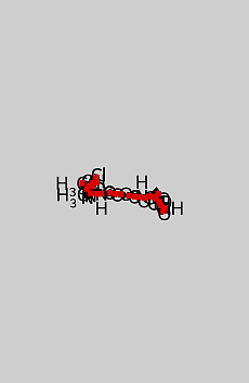 Cc1sc2c(c1C)C(c1ccc(Cl)cc1)=N[C@@H](CC(=O)NCCOCCOCCOCCOCCNC(=O)COc1cccc3c1C(=O)N(C1CCC(=O)NC1=O)C3=O)c1nnc(C)n1-2